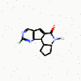 CCN(C)C(=O)C1=Cc2cnc(Cl)nc2C1C1CCCC1